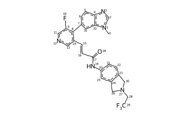 Cn1cnc2ccc(-c3c(F)cncc3/C=C/C(=O)Nc3ccc4c(c3)CN(CC(F)(F)F)C4)cc21